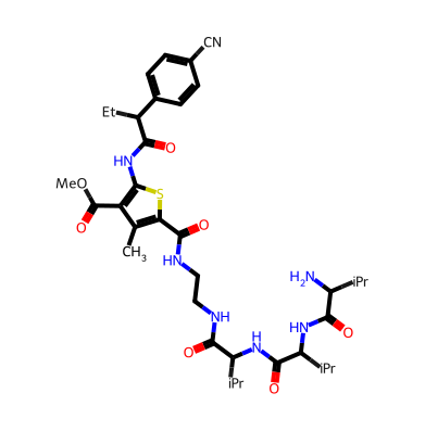 CCC(C(=O)Nc1sc(C(=O)NCCNC(=O)C(NC(=O)C(NC(=O)C(N)C(C)C)C(C)C)C(C)C)c(C)c1C(=O)OC)c1ccc(C#N)cc1